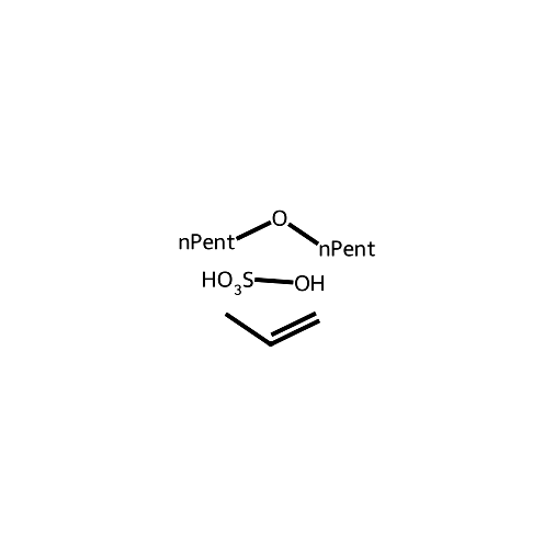 C=CC.CCCCCOCCCCC.O=S(=O)(O)O